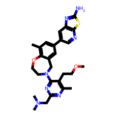 COCCc1c(C)nc(CN(C)C)nc1N1CCOc2c(C)cc(-c3cnc4sc(N)nc4c3)cc2C1